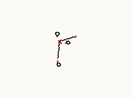 O=C(O)CCCCCCCCCCC(CCCCCCCCCCC(=O)OCc1ccccc1)(C(=O)OCc1ccccc1)C(=O)OCc1ccccc1